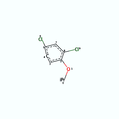 [CH2]C(C)Oc1ccc(Cl)cc1Cl